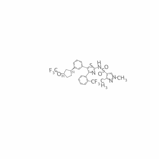 Cc1nn(C)cc1S(=O)(=O)Nc1nc(-c2ccccc2C(F)(F)F)c(-c2cccc([C@H]3CC[C@@H](OC(F)(F)F)C3)c2)s1